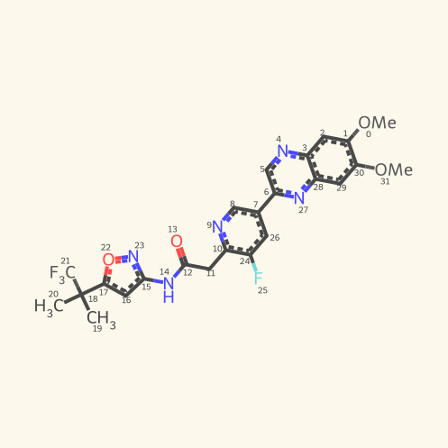 COc1cc2ncc(-c3cnc(CC(=O)Nc4cc(C(C)(C)C(F)(F)F)on4)c(F)c3)nc2cc1OC